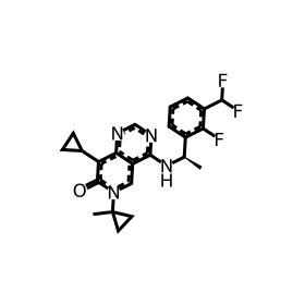 C[C@@H](Nc1ncnc2c(C3CC3)c(=O)n(C3(C)CC3)cc12)c1cccc(C(F)F)c1F